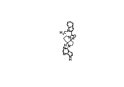 Cn1c(C(=O)N2CCC[C@@H]3[C@H]2CCN3c2ncnc3[nH]ccc23)cc2ccccc21